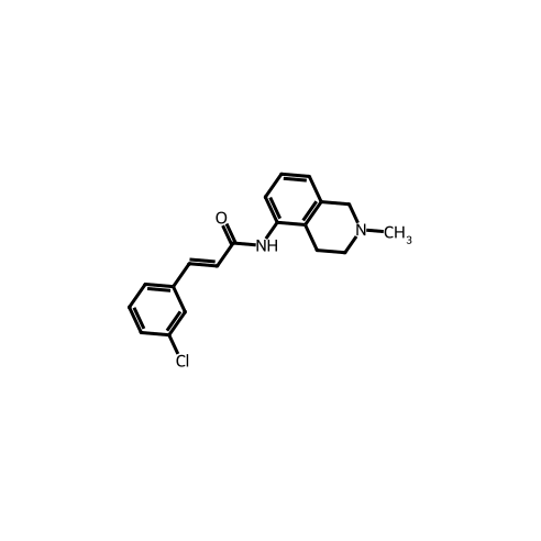 CN1CCc2c(cccc2NC(=O)/C=C/c2cccc(Cl)c2)C1